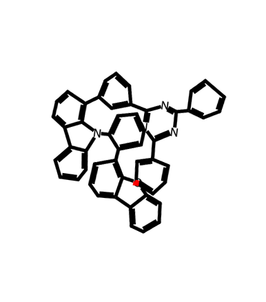 c1ccc(-c2nc(-c3ccccc3)nc(-c3cccc(-c4cccc5c6ccccc6n(-c6ccccc6-c6cccc7c6oc6ccccc67)c45)c3)n2)cc1